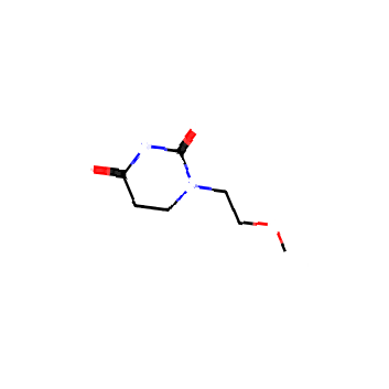 COCCN1CCC(=O)[N]C1=O